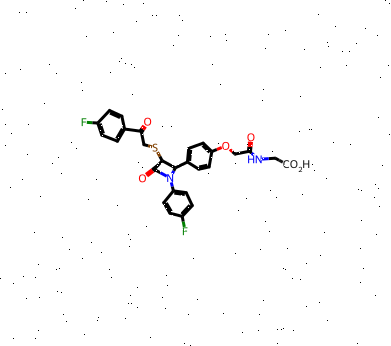 O=C(O)CNC(=O)COc1ccc(C2C(SCC(=O)c3ccc(F)cc3)C(=O)N2c2ccc(F)cc2)cc1